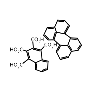 O=C(O)c1c(C(=O)O)c(C(=O)O)c2ccccc2c1C(=O)O.c1cc2cccc3c4cccc5cccc(c(c1)c23)c54